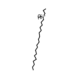 CCCCCCCCCCCCCCCCCCC[NH+]([O-])CCC